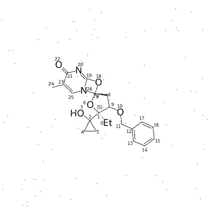 CC[C@]1(C2(O)CC2)O[C@@]2(CC1OCc1ccccc1)Oc1nc(=O)c(C)cn12